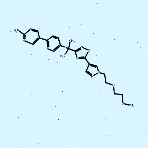 COCCOCCn1cc(-c2nc(C(C)(C)c3ccc(-c4cnc(N)nc4)nc3)no2)cn1